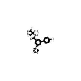 CC(CF)(NC(=O)c1cc(-c2ccc(Cl)cc2)cc(-n2cnnn2)c1)C(F)F